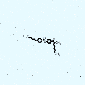 CCCCCCC(C)C(=O)c1ccc(OC(=O)[C@H]2CC[C@H](CCCCCC)CC2)cc1